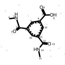 CNC(=O)c1cc(C(=O)O)cc(C(=O)NC)c1